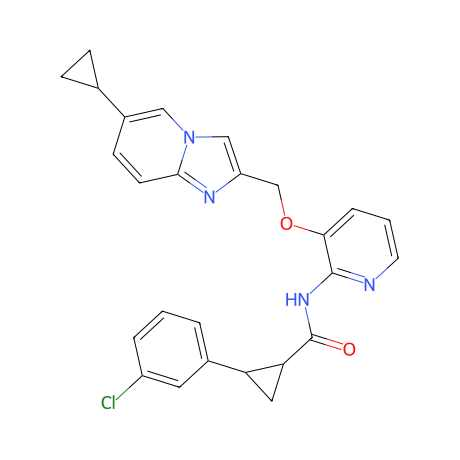 O=C(Nc1ncccc1OCc1cn2cc(C3CC3)ccc2n1)C1CC1c1cccc(Cl)c1